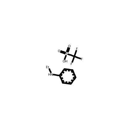 CCNc1ccccc1.O=S(=O)(O)C(F)(F)F